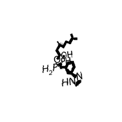 CC(C)=CCC[C@H](C)CCOC(P)(Cc1cccc(-c2ncc[nH]2)c1)PO